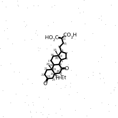 CC[C@H]1C(=O)C2C3CCC(CCC(C(=O)O)C(=O)O)[C@@]3(C)CCC2[C@@]2(C)CCC(=O)C[C@@H]12